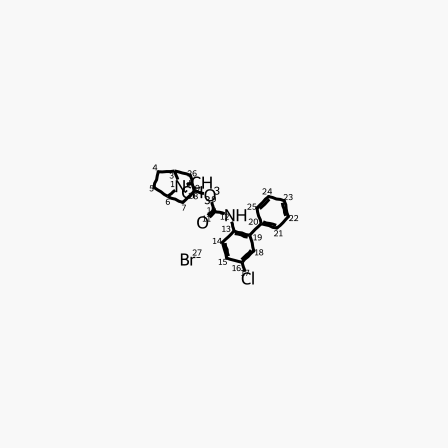 C[N+]1(C)C2CCC1CC(OC(=O)Nc1ccc(Cl)cc1-c1ccccc1)C2.[Br-]